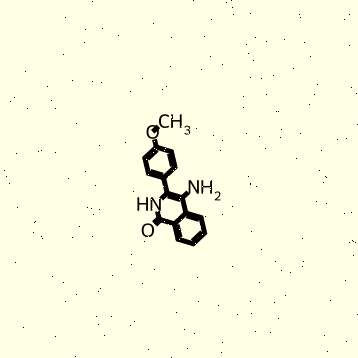 COc1ccc(-c2[nH]c(=O)c3ccccc3c2N)cc1